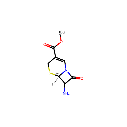 CC(C)(C)OC(=O)C1=CN2C(=O)C(N)[C@H]2SC1